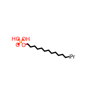 CC(C)CCCCCCCCCCCCOP(=O)(O)O